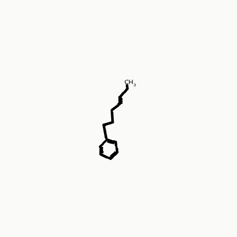 CC/C=C/CCCc1ccccc1